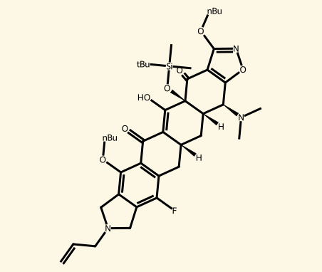 C=CCN1Cc2c(F)c3c(c(OCCCC)c2C1)C(=O)C1=C(O)[C@]2(O[Si](C)(C)C(C)(C)C)C(=O)c4c(OCCCC)noc4[C@@H](N(C)C)[C@@H]2C[C@@H]1C3